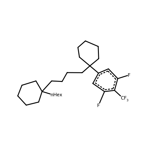 CCCCCCC1(CCCCC2(c3cc(F)c(C(F)(F)F)c(F)c3)CCCCC2)CCCCC1